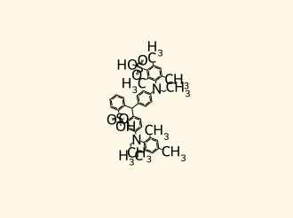 CCN(c1ccc(C(c2ccc(N(CC)c3c(C)cc(C)c(S(=O)(=O)O)c3C)cc2)c2ccccc2S(=O)(=O)O)cc1)c1c(C)cc(C)cc1C